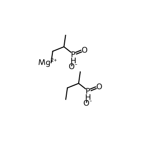 CCC(C)[PH](=O)[O-].CCC(C)[PH](=O)[O-].[Mg+2]